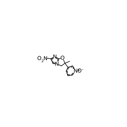 CC1(c2ccc[n+]([O-])c2)Cn2cc([N+](=O)[O-])nc2O1